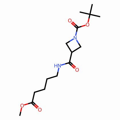 COC(=O)CCCCNC(=O)C1CN(C(=O)OC(C)(C)C)C1